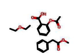 CC(=O)Oc1ccccc1C(=O)O.CCOCC.COC(=O)Cc1ccccc1